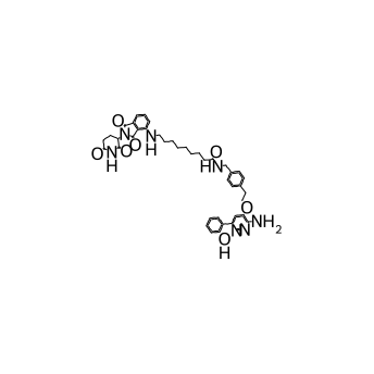 Nc1nnc(-c2ccccc2O)cc1OCCc1ccc(CNC(=O)CCCCCCCCNc2cccc3c2C(=O)N(C2CCC(=O)NC2=O)C3=O)cc1